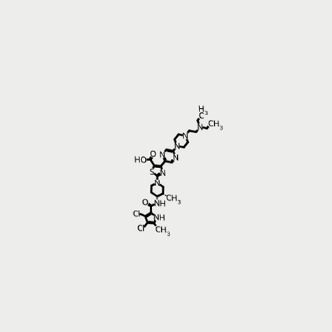 CCN(CC)CCN1CCN(c2cnc(-c3nc(N4CC[C@@H](NC(=O)c5[nH]c(C)c(Cl)c5Cl)[C@@H](C)C4)sc3C(=O)O)cn2)CC1